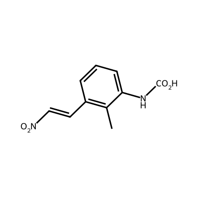 Cc1c(C=C[N+](=O)[O-])cccc1NC(=O)O